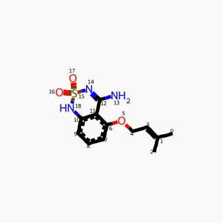 CC(C)=CCOc1cccc2c1C(N)=NS(=O)(=O)N2